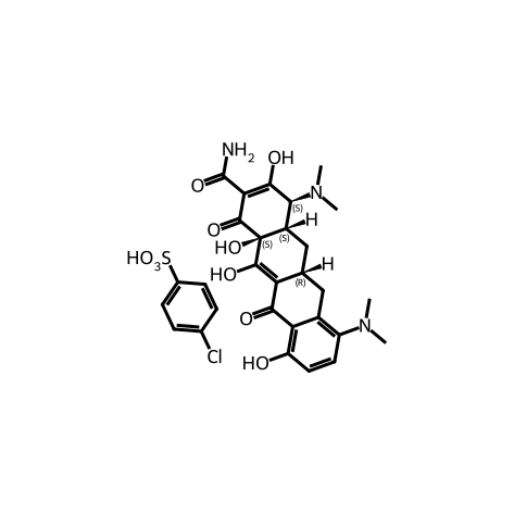 CN(C)c1ccc(O)c2c1C[C@H]1C[C@H]3[C@H](N(C)C)C(O)=C(C(N)=O)C(=O)[C@@]3(O)C(O)=C1C2=O.O=S(=O)(O)c1ccc(Cl)cc1